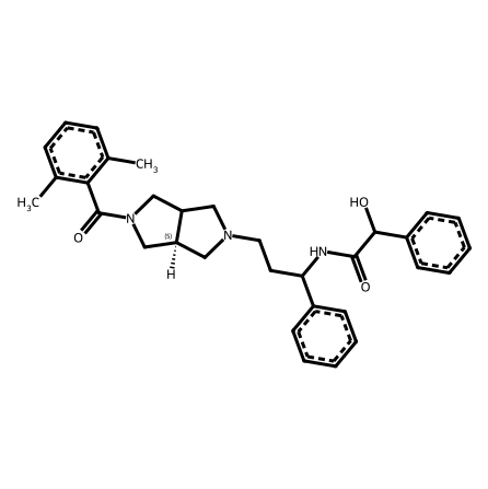 Cc1cccc(C)c1C(=O)N1CC2CN(CCC(NC(=O)C(O)c3ccccc3)c3ccccc3)C[C@H]2C1